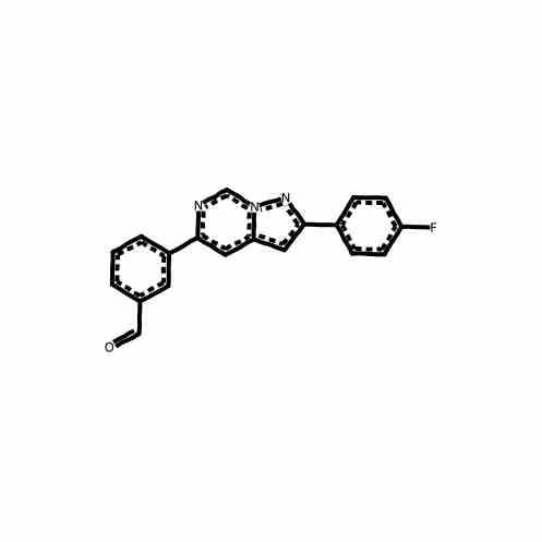 O=Cc1cccc(-c2cc3cc(-c4ccc(F)cc4)nn3cn2)c1